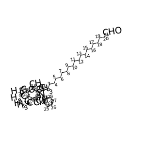 CCOC(=O)C(CCCCCCCCCCCCCCCCCCCC=O)N(c1ccccc1)C1(C)C(C)=C(C)C(C)C(C)(C)C1(C)C